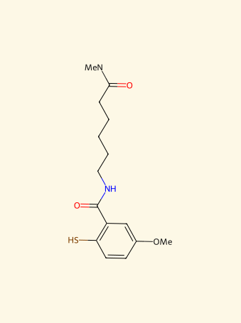 CNC(=O)CCCCCNC(=O)c1cc(OC)ccc1S